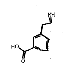 N=CCc1cccc(C(=O)O)c1